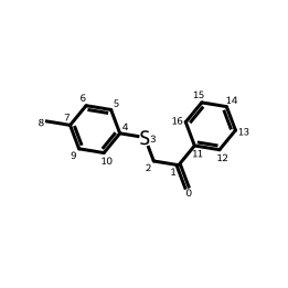 C=C(CSc1ccc(C)cc1)c1ccccc1